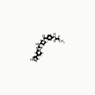 C=C(F)C(=O)Nc1ccc(C(=O)N2CC[C@@H](Nc3nc4cc(-c5cn[nH]c5)ccn4n3)C2)cc1